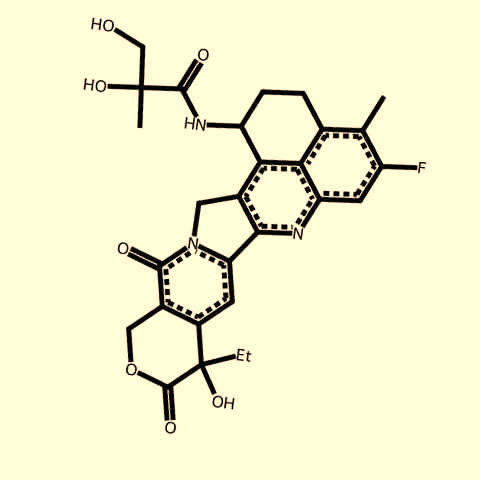 CCC1(O)C(=O)OCc2c1cc1n(c2=O)Cc2c-1nc1cc(F)c(C)c3c1c2C(NC(=O)C(C)(O)CO)CC3